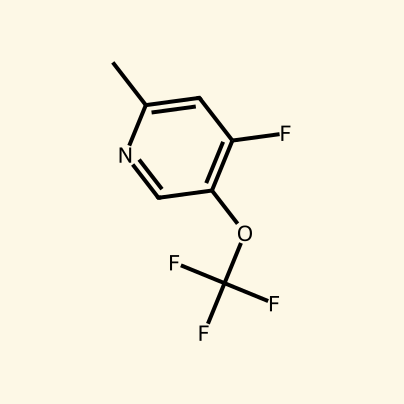 Cc1cc(F)c(OC(F)(F)F)cn1